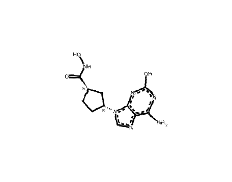 Nc1nc(O)nc2c1ncn2[C@@H]1CC[C@@H](C(=O)NO)C1